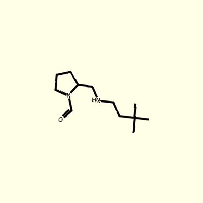 CC(C)(C)CCNCC1CCCN1C=O